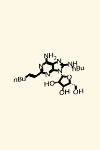 CCCC/C=C/c1nc(N)c2nc(NCCCC)n([C@@H]3O[C@H](CO)[C@@H](O)[C@H]3O)c2n1